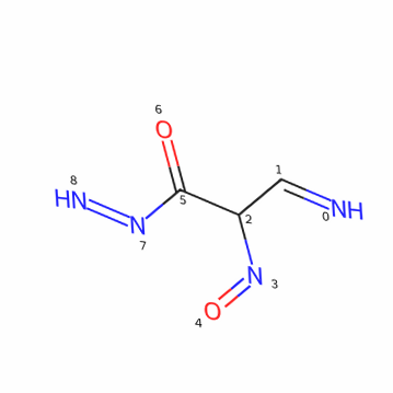 N=CC(N=O)C(=O)N=N